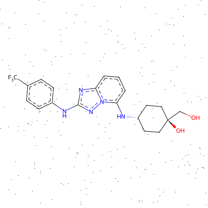 OC[C@]1(O)CC[C@H](Nc2cccc3nc(Nc4ccc(C(F)(F)F)cc4)nn23)CC1